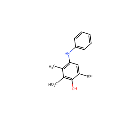 Cc1c(Nc2ccccc2)cc(C(C)(C)C)c(O)c1C(=O)O